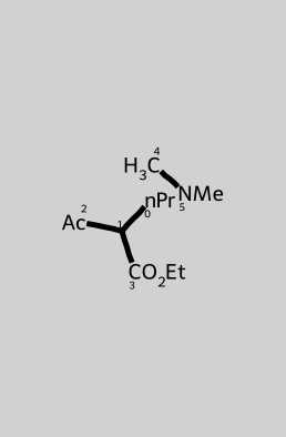 CCCC(C(C)=O)C(=O)OCC.CNC